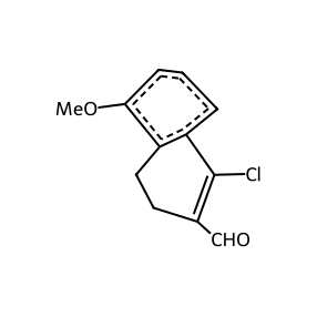 COc1cccc2c1CCC(C=O)=C2Cl